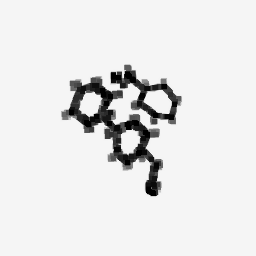 NC1CCCCC1.O=Cc1ccc(-c2ccccc2)cc1